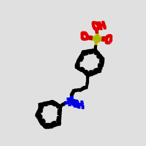 O=S(=O)(O)c1ccc(CCNc2ccccc2)cc1